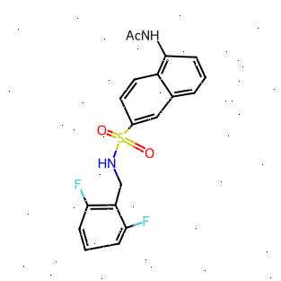 CC(=O)Nc1cccc2cc(S(=O)(=O)NCc3c(F)cccc3F)ccc12